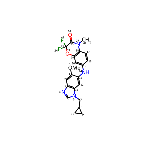 COc1cc2ncn(CC3CC3)c2cc1Nc1ccc2c(c1)OC(F)(F)C(=O)N2C